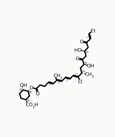 CC/C=C/C(=O)C[C@H](O)CC(=O)[C@@H](O)C[C@H](C)/C(Cl)=C/C=C/C=C(C)/C=C/CCC(=O)O[C@@H]1C[C@@H](C(=O)O)CC[C@@H]1O